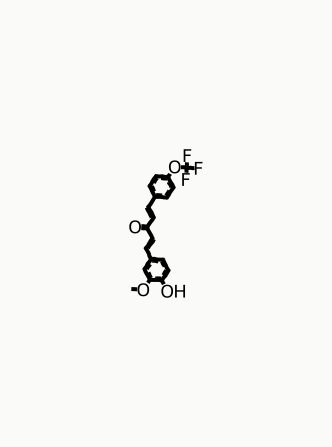 COc1cc(C=CC(=O)C=Cc2ccc(OC(F)(F)F)cc2)ccc1O